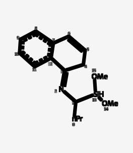 CCCC(N=C1CC=Cc2ccccc21)[SiH](OC)OC